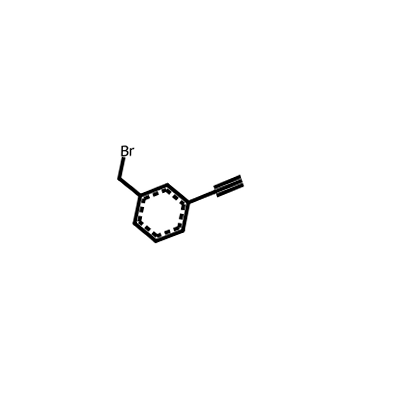 C#Cc1cccc(CBr)c1